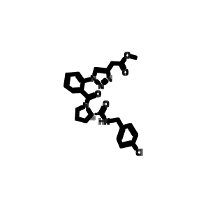 COC(=O)Cc1cn(-c2ccccc2C(=O)N2CCC[C@H]2C(=O)NCc2ccc(Cl)cc2)nn1